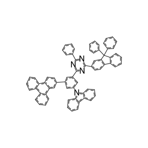 c1ccc(-c2nc(-c3cc(-c4ccc5c6ccccc6c6ccccc6c5c4)cc(-n4c5ccccc5c5ccccc54)c3)nc(-c3ccc4c(c3)C(c3ccccc3)(c3ccccc3)c3ccccc3-4)n2)cc1